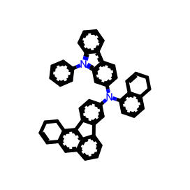 C1=Cc2c(cccc2N(c2ccc3c(c2)-c2cccc4cc5c(c-3c24)CCC=C5)c2ccc3c4ccccc4n(-c4ccccc4)c3c2)CC1